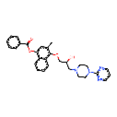 Cc1cc(OC(=O)c2ccccc2)c2ccccc2c1OCC(O)CN1CCN(c2ncccn2)CC1